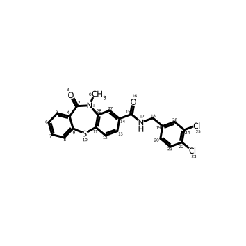 CN1C(=O)c2ccccc2Sc2ccc(C(=O)NCc3ccc(Cl)c(Cl)c3)cc21